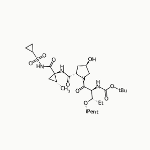 CCC[C@@H](C)O[C@@H](CC)[C@H](NC(=O)OC(C)(C)C)C(=O)N1C[C@H](O)C[C@H]1C(=O)N[C@]1(C(=O)NS(=O)(=O)C2CC2)C[C@H]1C